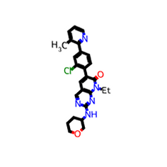 CCn1c(=O)c(-c2ccc(-c3ncccc3C)cc2Cl)cc2cnc(NC3CCCOC3)nc21